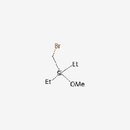 CC[Si](CC)(CBr)OC